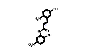 Nc1ccc(O)cc1/C=C/C(=O)Nc1cc([N+](=O)[O-])ccc1O